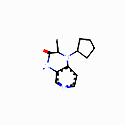 CC1C(=O)N(C)c2cn[c]cc2N1C1CCCC1